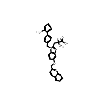 Cc1ccccc1-c1ccc(Cn2c(CC(C)(C)C(=O)O)nc3cc(OCc4ccc5ccccc5n4)ccc32)cc1